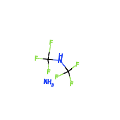 FC(F)(F)NC(F)(F)F.N